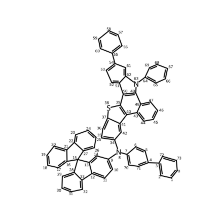 c1ccc(-c2ccc(N(c3ccc4c(c3)C3(c5ccccc5-c5ccccc53)c3ccccc3-4)c3ccc4sc5c(c4c3)c3ccccc3c3c5c4ccc(-c5ccccc5)cc4n3-c3ccccc3)cc2)cc1